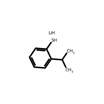 CC(C)c1ccccc1S.[LiH]